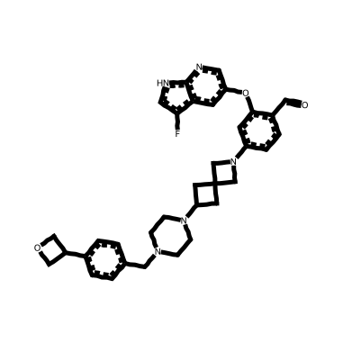 O=Cc1ccc(N2CC3(CC(N4CCN(Cc5ccc(C6COC6)cc5)CC4)C3)C2)cc1Oc1cnc2[nH]cc(F)c2c1